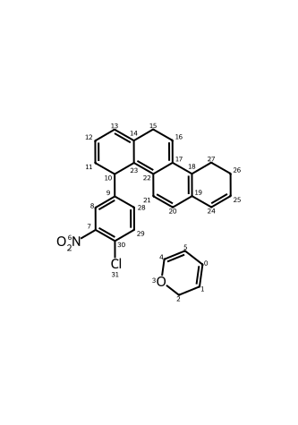 C1=CCOC=C1.O=[N+]([O-])c1cc(C2C=CC=C3CC=c4c5c(ccc4=C32)C=CCC5)ccc1Cl